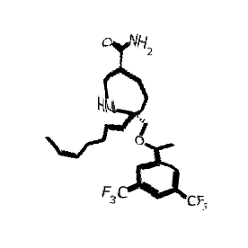 C/C=C\CC/C=C/[C@]1(COC(C)c2cc(C(F)(F)F)cc(C(F)(F)F)c2)CC[C@H](C(N)=O)CN1